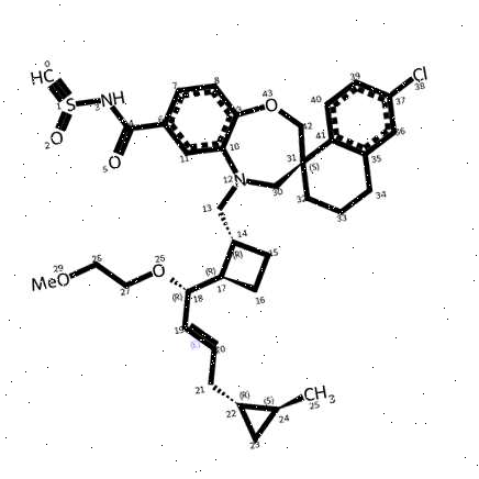 C#S(=O)NC(=O)c1ccc2c(c1)N(C[C@@H]1CC[C@H]1[C@H](/C=C/C[C@H]1C[C@@H]1C)OCCOC)C[C@@]1(CCCc3cc(Cl)ccc31)CO2